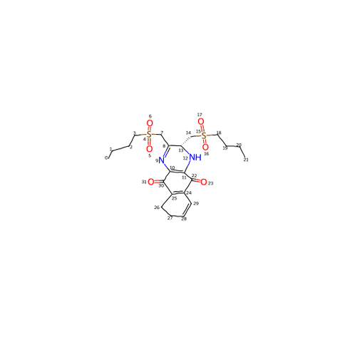 CCCCS(=O)(=O)CC1=NC2=C(N[C@H]1CS(=O)(=O)CCCC)C(=O)C1=C(CCC=C1)C2=O